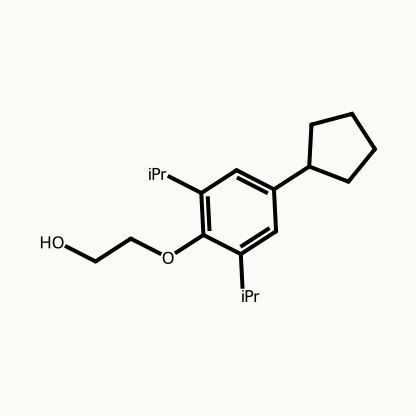 CC(C)c1cc(C2CCCC2)cc(C(C)C)c1OCCO